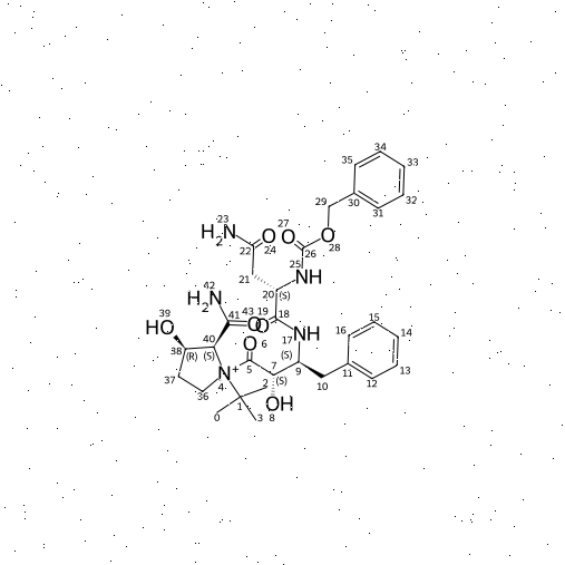 CC(C)(C)[N+]1(C(=O)[C@@H](O)[C@H](Cc2ccccc2)NC(=O)[C@H](CC(N)=O)NC(=O)OCc2ccccc2)CC[C@@H](O)[C@H]1C(N)=O